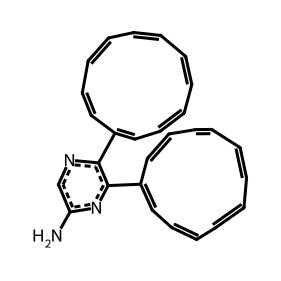 Nc1cnc(C2=C/C=C\C=C/C=C\C=C/C=C\2)c(C2=C/C=C\C=C/C=C\C=C/C=C\2)n1